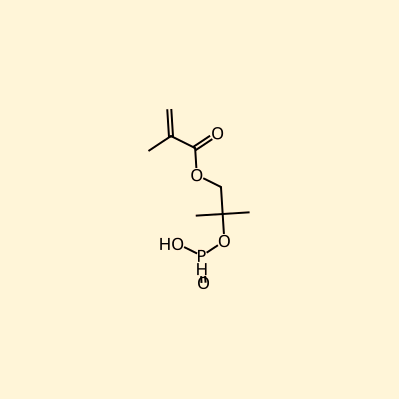 C=C(C)C(=O)OCC(C)(C)O[PH](=O)O